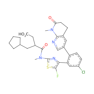 CN(C(=O)C(CC(=O)O)CC1CCCC1)c1nc(-c2cc(Cl)ccc2-c2cnc3c(c2)CCC(=O)N3C)c(F)s1